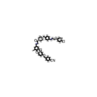 Cc1cc(/C=C/C(=O)N2CCN(Cc3ccc(/C=C/COc4ccc(Cl)nc4)cc3)CC2)cc(Cl)c1Oc1ccc(OCc2ccc(C#N)cc2)cn1